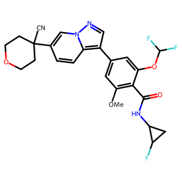 COc1cc(-c2cnn3cc(C4(C#N)CCOCC4)ccc23)cc(OC(F)F)c1C(=O)NC1CC1F